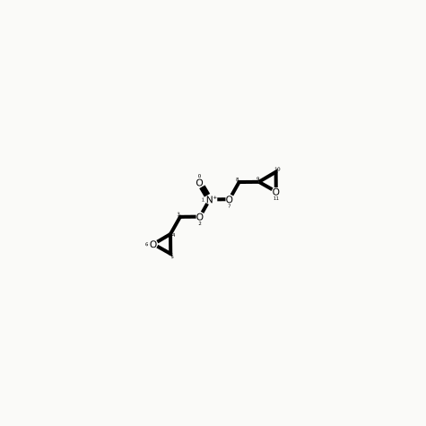 O=[N+](OCC1CO1)OCC1CO1